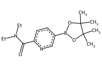 CCN(CC)C(=O)c1ccc(B2OC(C)(C)C(C)(C)O2)cn1